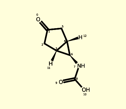 O=C1C[C@@H]2[C@H](C1)[C@H]2NC(=O)O